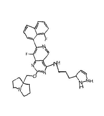 Fc1c(-c2cccc3cccc(F)c23)ncc2c(NCCCC3C=CNN3)nc(OCC34CCCN3CCC4)nc12